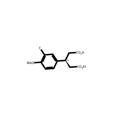 CCOC(=O)C[C@H](CC(=O)O)c1ccc(OC)c(F)c1